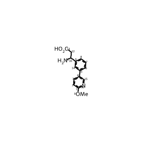 COc1ccc(-c2cccc(C(N)CC(=O)O)c2)cn1